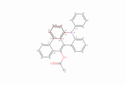 CCC(=O)Oc1c(-c2ccccc2P(c2ccccc2)c2ccccc2)c2ccccc2c2ccccc12